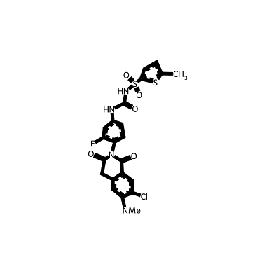 CNc1cc2c(cc1Cl)C(=O)N(c1ccc(NC(=O)NS(=O)(=O)c3ccc(C)s3)cc1F)C(=O)C2